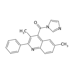 Cc1ccc2nc(-c3ccccc3)c(C)c(C(=O)n3ccnc3)c2c1